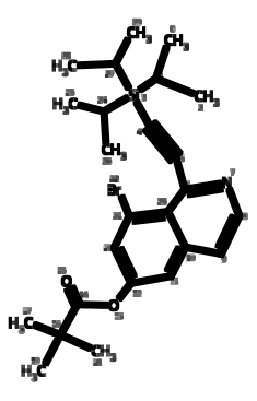 CC(C)[Si](C#Cc1nccc2cc(OC(=O)C(C)(C)C)cc(Br)c12)(C(C)C)C(C)C